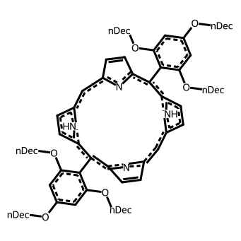 CCCCCCCCCCOc1cc(OCCCCCCCCCC)c(-c2c3nc(cc4ccc([nH]4)c(-c4c(OCCCCCCCCCC)cc(OCCCCCCCCCC)cc4OCCCCCCCCCC)c4nc(cc5ccc2[nH]5)C=C4)C=C3)c(OCCCCCCCCCC)c1